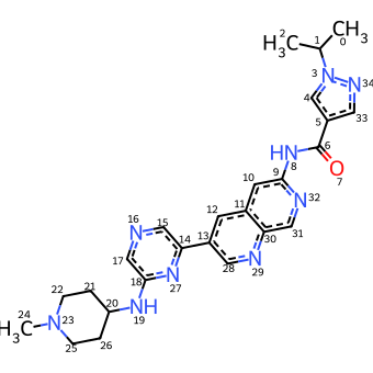 CC(C)n1cc(C(=O)Nc2cc3cc(-c4cncc(NC5CCN(C)CC5)n4)cnc3cn2)cn1